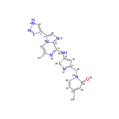 Cc1cn2c(-c3cn[nH]c3)cnc2c(Nc2cc(Cn3ccc(I)cc3=O)ns2)n1